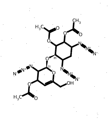 CC(=O)OC1C=C(CO)O[C@H](O[C@@H]2C(N=[N+]=[N-])CC(N=[N+]=[N-])C(OC(C)=O)C2OC(C)=O)C1N=[N+]=[N-]